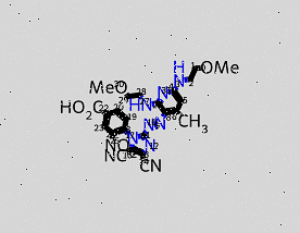 COCCNc1cc(C)c(N=Nc2nc(C#N)c(C#N)n2-c2ccc(C(=O)O)cc2[N+](=O)[O-])c(NCCOC)n1